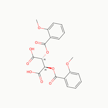 COc1ccccc1C(=O)O[C@@H](C(=O)O)[C@@H](OC(=O)c1ccccc1OC)C(=O)O